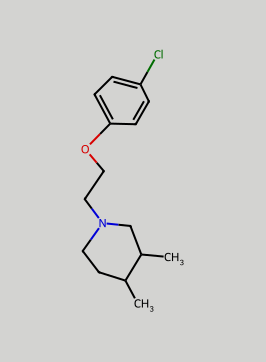 CC1CCN(CCOc2ccc(Cl)cc2)CC1C